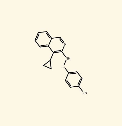 N#Cc1ccc(SNc2ncc3ccccc3c2C2CC2)cc1